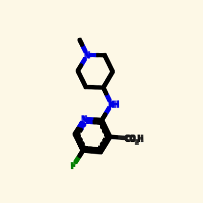 CN1CCC(Nc2ncc(F)cc2C(=O)O)CC1